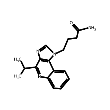 CC(C)c1nc2ccccc2c2c1ncn2CCCC(N)=O